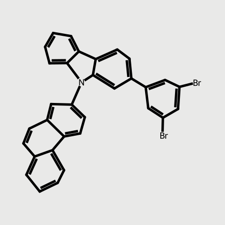 Brc1cc(Br)cc(-c2ccc3c4ccccc4n(-c4ccc5c(ccc6ccccc65)c4)c3c2)c1